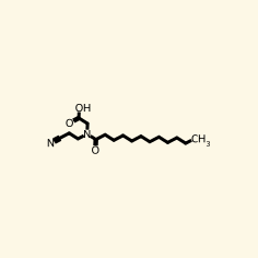 CCCCCCCCCCCC(=O)N(CCC#N)CC(=O)O